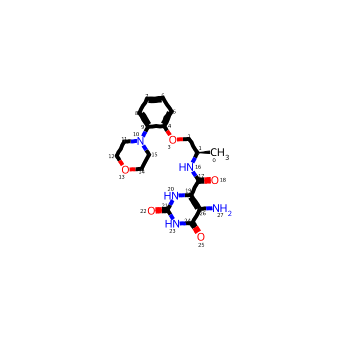 C[C@H](COc1ccccc1N1CCOCC1)NC(=O)c1[nH]c(=O)[nH]c(=O)c1N